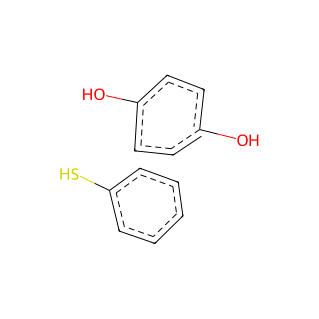 Oc1ccc(O)cc1.Sc1ccccc1